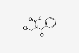 O=C(Cl)N(CCl)C(=O)c1ccccc1